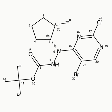 C[C@H]1CCC[C@H]1N(NC(=O)OC(C)(C)C)c1nc(Cl)ncc1Br